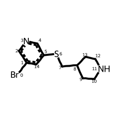 Brc1cncc(SCC2CCNCC2)c1